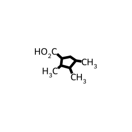 CC1CC(C(=O)O)C(C)C1C